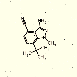 Cn1nc(N)c2c(C#N)ccc(C(C)(C)C)c21